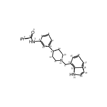 CC(C)C(=O)Nc1cccc(C2CCN(Cc3cccc4cc[nH]c34)CC2)c1